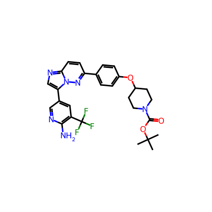 CC(C)(C)OC(=O)N1CCC(Oc2ccc(-c3ccc4ncc(-c5cnc(N)c(C(F)(F)F)c5)n4n3)cc2)CC1